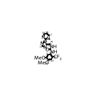 COc1cc(NC(=O)N[C@@H](C)c2ncnn2-c2ncccn2)c(C(F)(F)F)cc1OC